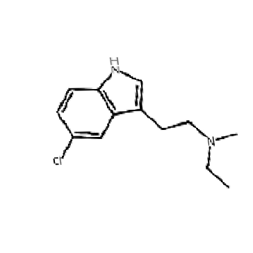 CCN(C)CCc1c[nH]c2ccc(Cl)cc12